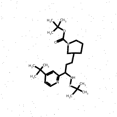 CC(C)(C)OC(=O)N1CCCC(CCC(NSC(C)(C)C)c2cc(C(C)(C)C)ccn2)C1